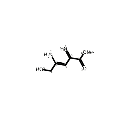 COC(=O)C(=N)/C=C(\N)CO